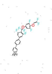 CCCc1ccc(-c2ccc(-c3cc(F)c(C(F)(F)Oc4cc(F)c(OC=C(F)F)c(F)c4)c(F)c3)cc2)cc1